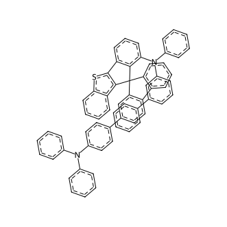 c1ccc(-c2cccc(N(c3ccccc3)c3cccc4c3C3(c5ccccc5-c5ccc(-c6ccc(N(c7ccccc7)c7ccccc7)cc6)cc53)c3c-4sc4ccccc34)c2)cc1